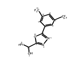 CCCC(O)c1nnc(-c2cc(C(F)(F)F)cc(C(F)(F)F)c2)o1